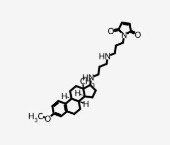 COc1ccc2c(c1)CC[C@@H]1[C@@H]2CC[C@]2(C)C(NCCCNCCCN3C(=O)C=CC3=O)CC[C@@H]12